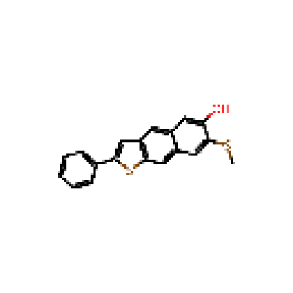 CSc1cc2cc3sc(-c4ccccc4)cc3cc2cc1O